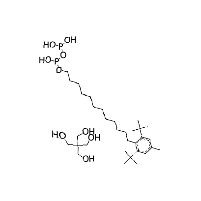 Cc1cc(C(C)(C)C)c(CCCCCCCCCCCCOP(O)OP(O)O)c(C(C)(C)C)c1.OCC(CO)(CO)CO